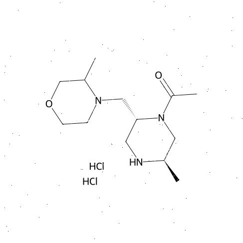 CC(=O)N1C[C@@H](C)NC[C@@H]1CN1CCOCC1C.Cl.Cl